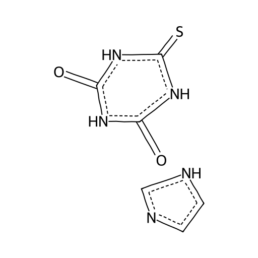 O=c1[nH]c(=O)[nH]c(=S)[nH]1.c1c[nH]cn1